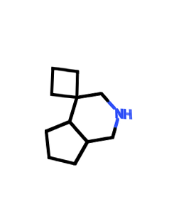 C1CC2CNCC3(CCC3)C2C1